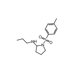 CCCNC1CCCN1S(=O)(=O)c1ccc(C)cc1